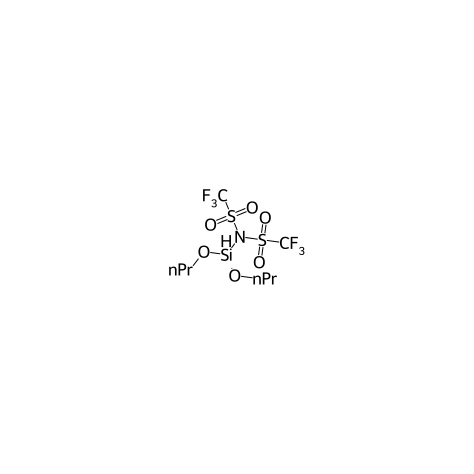 CCCO[SiH](OCCC)N(S(=O)(=O)C(F)(F)F)S(=O)(=O)C(F)(F)F